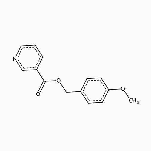 COc1ccc(COC(=O)c2cccnc2)cc1